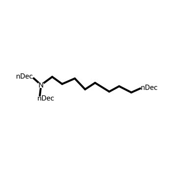 CCCCCCCCCCCCCCCCCCN(CCCCCCCCCC)CCCCCCCCCC